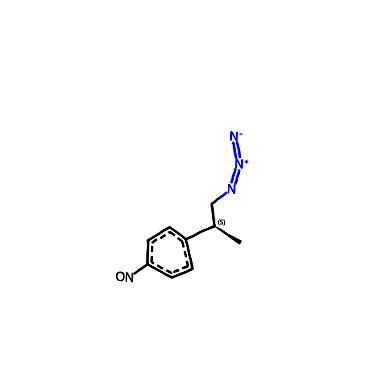 C[C@H](CN=[N+]=[N-])c1ccc(N=O)cc1